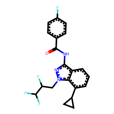 O=C(Nc1nn(CC(F)C(F)F)c2c(C3CC3)cccc12)c1ccc(F)cc1